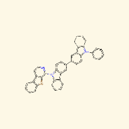 C1=Cc2c(c3cc(-c4ccc5c(c4)c4ccccc4n5-c4nccc5c4sc4ccccc45)ccc3n2-c2ccccc2)CC1